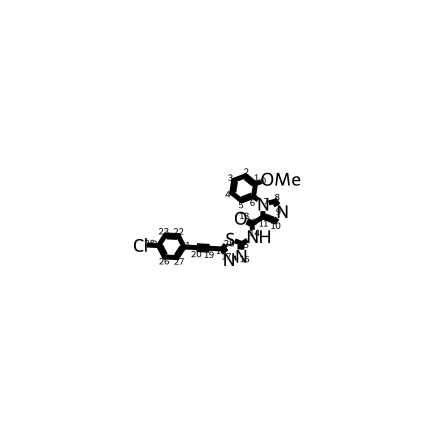 COc1ccccc1-n1cncc1C(=O)Nc1nnc(C#Cc2ccc(Cl)cc2)s1